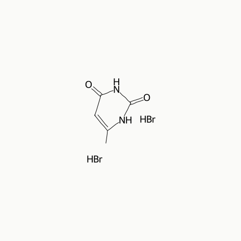 Br.Br.Cc1cc(=O)[nH]c(=O)[nH]1